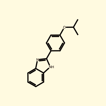 CC(C)Oc1ccc(-c2nc3ccccc3[nH]2)cc1